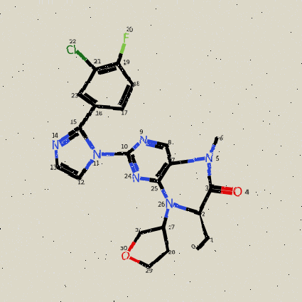 CC[C@@H]1C(=O)N(C)c2cnc(-n3ccnc3-c3ccc(F)c(Cl)c3)nc2N1C1CCOC1